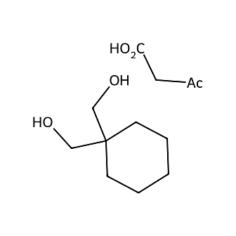 CC(=O)CC(=O)O.OCC1(CO)CCCCC1